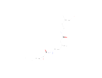 CCOC(=O)C1OC1C(=O)NCCC(C)CC(=O)NCCC(C)CO